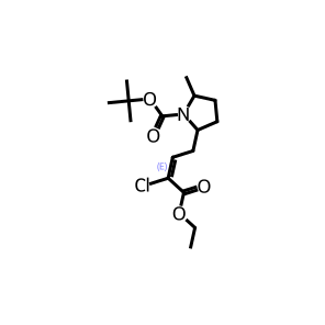 CCOC(=O)/C(Cl)=C\CC1CCC(C)N1C(=O)OC(C)(C)C